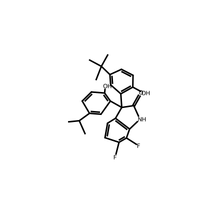 CC(C)c1ccc(O)c(C2(c3cc(C(C)(C)C)ccc3O)C(=O)Nc3c2ccc(F)c3F)c1